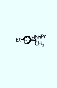 C=C(NC(C)C)c1ccc(CC)cc1